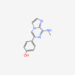 CNc1nc(-c2ccc(O)cc2)cn2ccnc12